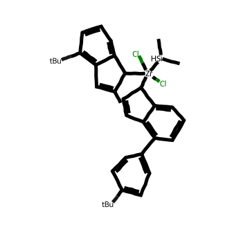 CC1=Cc2c(cccc2C(C)(C)C)[CH]1[Zr]([Cl])([Cl])([CH]1C=Cc2c(-c3ccc(C(C)(C)C)cc3)cccc21)[SiH](C)C